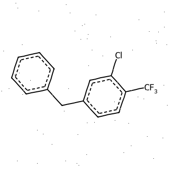 FC(F)(F)c1ccc(Cc2ccccc2)cc1Cl